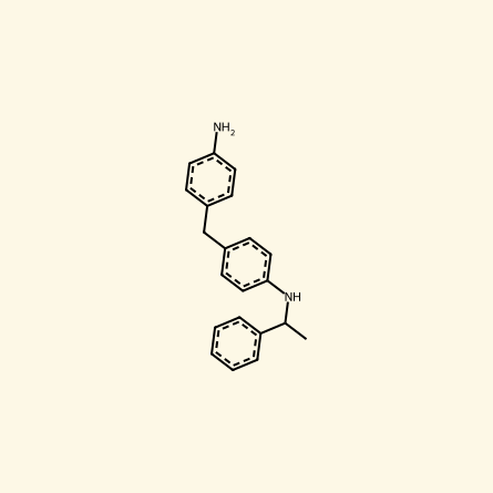 CC(Nc1ccc(Cc2ccc(N)cc2)cc1)c1ccccc1